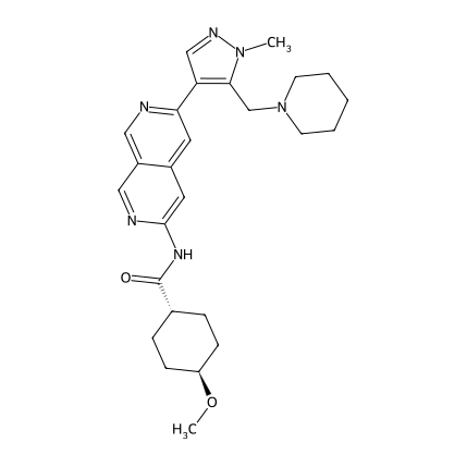 CO[C@H]1CC[C@H](C(=O)Nc2cc3cc(-c4cnn(C)c4CN4CCCCC4)ncc3cn2)CC1